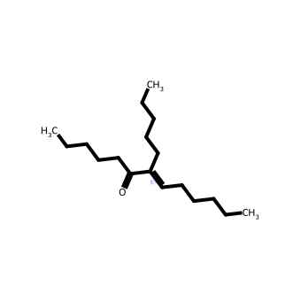 CCCCC/C=C(\CCCCC)C(=O)CCCCC